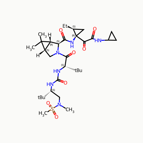 CC[C@H]1C[C@]1(NC(=O)[C@@H]1[C@@H]2[C@H](CN1C(=O)[C@@H](NC(=O)N[C@H](CN(C)S(C)(=O)=O)C(C)(C)C)C(C)(C)C)C2(C)C)C(=O)C(=O)NC1CC1